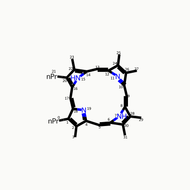 CCCC1=C(C)c2cc3[nH]c(cc4nc(cc5[nH]c(cc1n2)c(CCC)c5C)C(C)=C4C)c(C)c3C